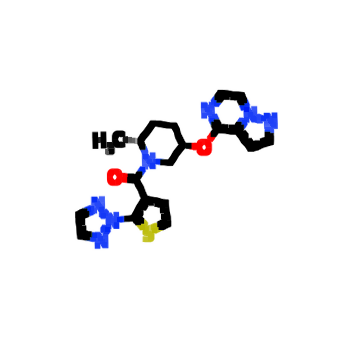 C[C@@H]1CC[C@@H](Oc2nccn3nccc23)CN1C(=O)c1ccsc1-n1nccn1